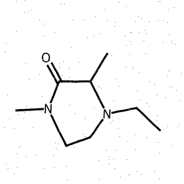 CCN1CCN(C)C(=O)C1C